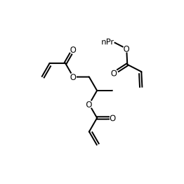 C=CC(=O)OCC(C)OC(=O)C=C.C=CC(=O)OCCC